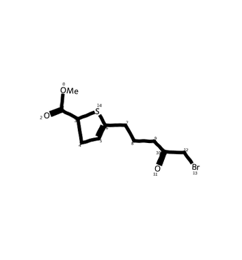 COC(=O)C1CC=C(CCCC(=O)CBr)S1